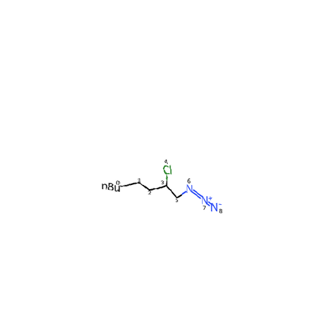 CCCCCCC(Cl)CN=[N+]=[N-]